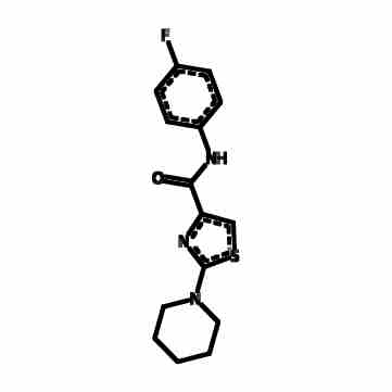 O=C(Nc1ccc(F)cc1)c1csc(N2CCCCC2)n1